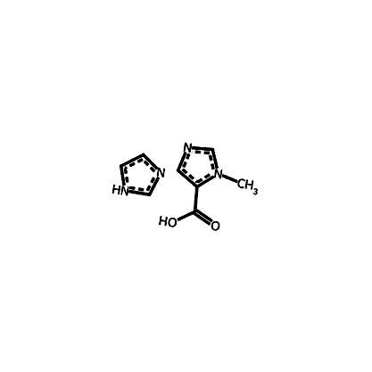 Cn1cncc1C(=O)O.c1c[nH]cn1